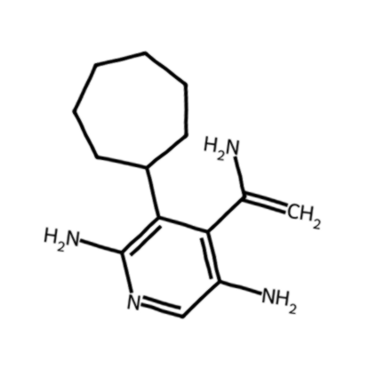 C=C(N)c1c(N)cnc(N)c1C1CCCCCC1